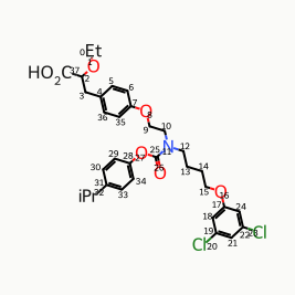 CCOC(Cc1ccc(OCCN(CCCCOc2cc(Cl)cc(Cl)c2)C(=O)Oc2ccc(C(C)C)cc2)cc1)C(=O)O